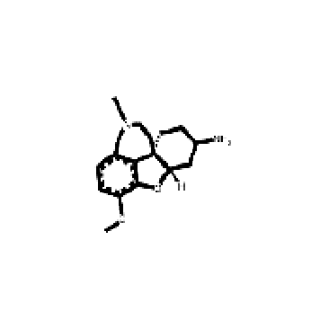 COc1ccc2c3c1O[C@H]1CC(N)CC[C@@]31CCN(C)C2